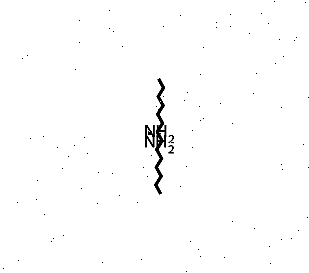 CCCCCCCCCCCCCC.NN